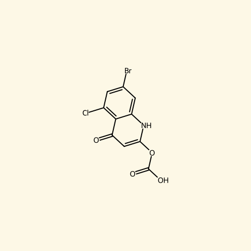 O=C(O)Oc1cc(=O)c2c(Cl)cc(Br)cc2[nH]1